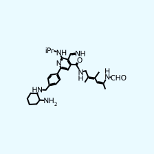 C/C(=C/C(C)=C(\C)CNC(=O)c1cc(-c2ccc(CNC3CCCCC3N)cc2)nc(NC(C)C)c1C=N)NC=O